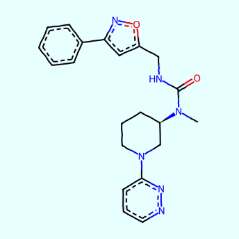 CN(C(=O)NCc1cc(-c2ccccc2)no1)[C@@H]1CCCN(c2cccnn2)C1